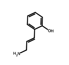 NCC=Cc1ccccc1O